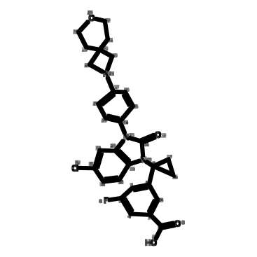 O=C(O)c1cc(F)cc(C2(n3c(=O)n(-c4ccc(N5CC6(CCOCC6)C5)cc4)c4cc(Cl)ccc43)CC2)c1